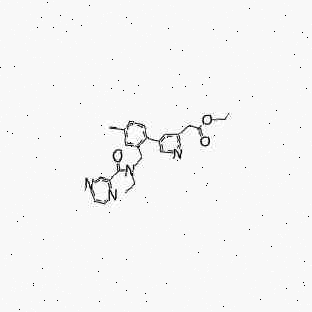 CCOC(=O)Cc1cncc(-c2ccc(C)cc2CN(CC)C(=O)c2cnccn2)c1